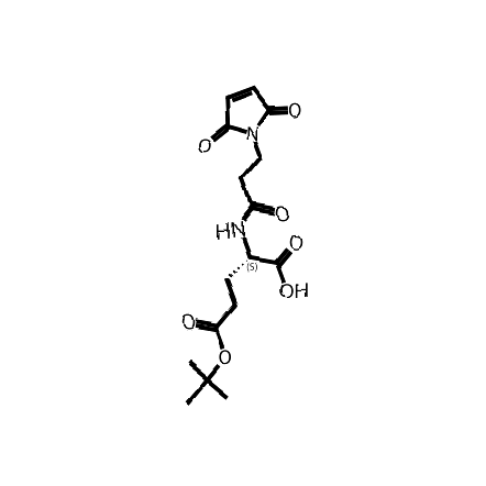 CC(C)(C)OC(=O)CC[C@H](NC(=O)CCN1C(=O)C=CC1=O)C(=O)O